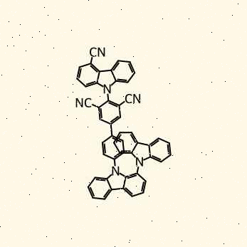 N#Cc1cc(-c2ccc(-n3c4ccccc4c4cccc(-n5c6ccccc6c6ccccc65)c43)cc2)cc(C#N)c1-n1c2ccccc2c2c(C#N)cccc21